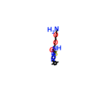 Cc1ccc(C)c(CN2CCN(c3nc(C(=O)NCCCOCCCCOCCCN)cs3)CC2)c1